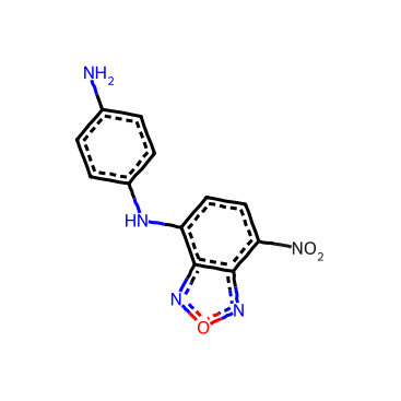 Nc1ccc(Nc2ccc([N+](=O)[O-])c3nonc23)cc1